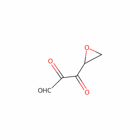 O=CC(=O)C(=O)C1CO1